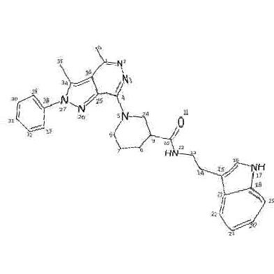 Cc1nnc(N2CCCC(C(=O)NCCc3c[nH]c4ccccc34)C2)c2nn(-c3ccccc3)c(C)c12